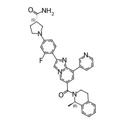 C[C@@H]1c2ccccc2CCN1C(=O)c1cc(-c2cccnc2)c2nc(-c3ccc(N4CC[C@H](C(N)=O)C4)cc3F)cn2c1